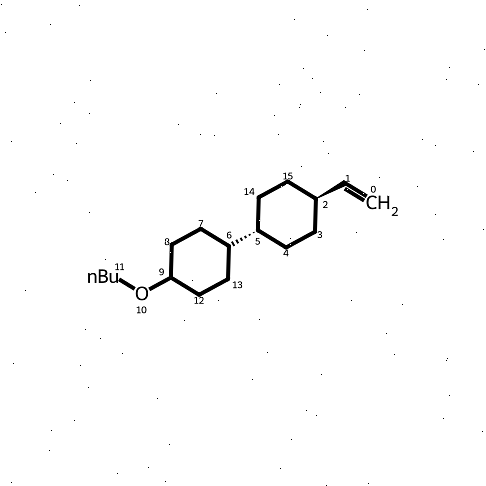 C=C[C@H]1CC[C@H](C2CCC(OCCCC)CC2)CC1